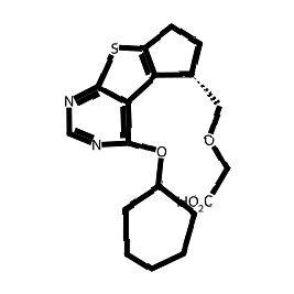 O=C(O)COC[C@H]1CCc2sc3ncnc(OC4CCCCC4)c3c21